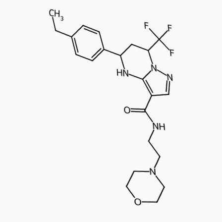 CCc1ccc(C2CC(C(F)(F)F)n3ncc(C(=O)NCCN4CCOCC4)c3N2)cc1